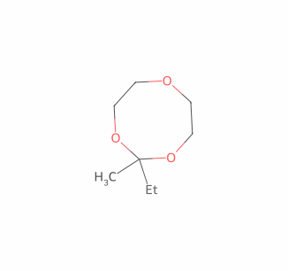 CCC1(C)OCCOCCO1